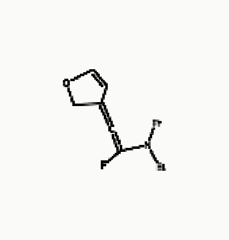 CCN(CC)C(F)=C=C1C=COC1